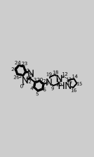 Cn1c(-c2cccc(N3CCN(C[C@@H]4CCCN4)CC3)c2)nc2ccccc21